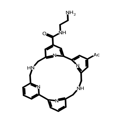 CC(=O)c1cc2nc(c1)-c1cc(C(=O)NCCN)cc(n1)CNCc1cccc(n1)-c1cccc(n1)CNC2